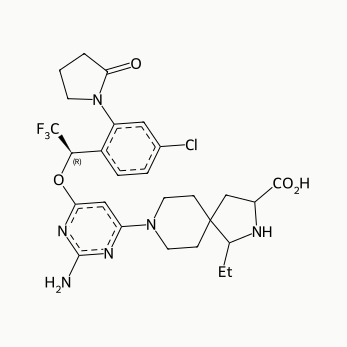 CCC1NC(C(=O)O)CC12CCN(c1cc(O[C@H](c3ccc(Cl)cc3N3CCCC3=O)C(F)(F)F)nc(N)n1)CC2